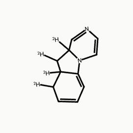 [2H]C1C=CC=C2N3C=CN=CC3([2H])C([2H])C21[2H]